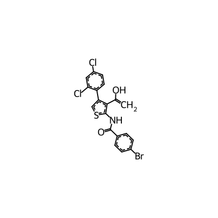 C=C(O)c1c(-c2ccc(Cl)cc2Cl)csc1NC(=O)c1ccc(Br)cc1